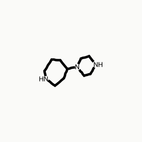 C1CNCCC(N2CCNCC2)C1